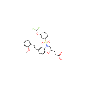 COC(=O)CCC1CN(S(=O)(=O)c2cccc(OC(F)F)c2)c2cc(C=Cc3ccccc3OC)ccc2O1